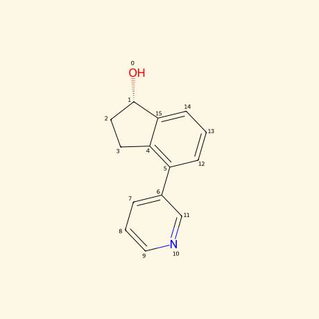 O[C@H]1CCc2c(-c3cccnc3)cccc21